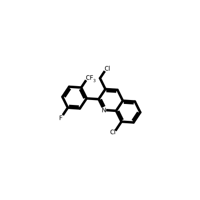 Fc1ccc(C(F)(F)F)c(-c2nc3c(Cl)cccc3cc2CCl)c1